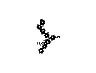 CC1(C)c2cc(-c3ccccc3)ccc2-c2ccc(N(c3ccc(C#N)cc3)c3ccc(-c4ccc(-c5cccc6c5oc5ccccc56)cc4)cc3)cc21